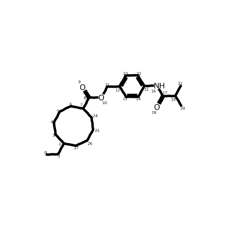 CCC1CCCCC(C(=O)OCc2ccc(NC(=O)C(C)C)cc2)CCCC1